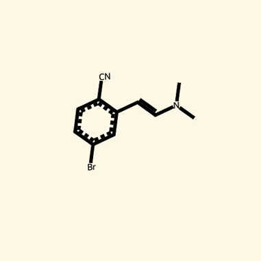 CN(C)C=Cc1cc(Br)ccc1C#N